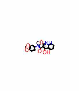 CN(C(=O)c1c(O)c2ccccc2[nH]c1=O)c1ccc2c(c1)OCO2